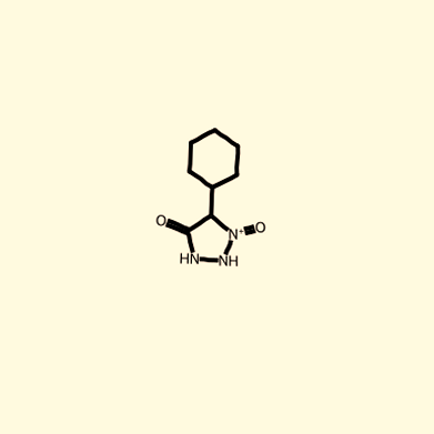 O=C1NN[N+](=O)C1C1CCCCC1